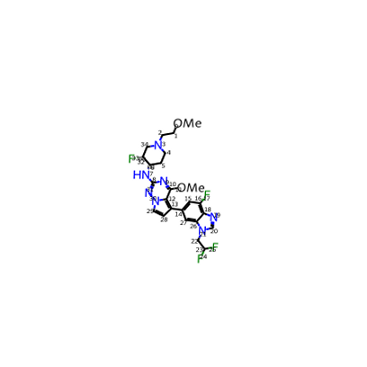 COCCN1CC[C@H](Nc2nc(OC)c3c(-c4cc(F)c5ncn(CC(F)F)c5c4)ccn3n2)[C@H](F)C1